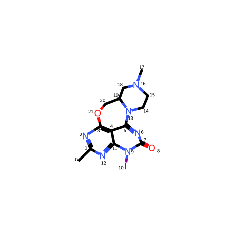 Cc1nc2c3c(nc(=O)n(I)c3n1)N1CCN(C)CC1CO2